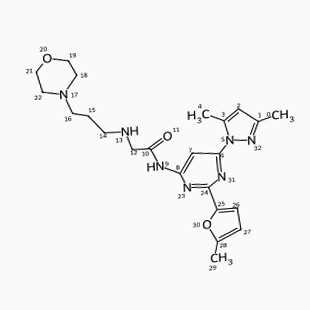 Cc1cc(C)n(-c2cc(NC(=O)CNCCCN3CCOCC3)nc(-c3ccc(C)o3)n2)n1